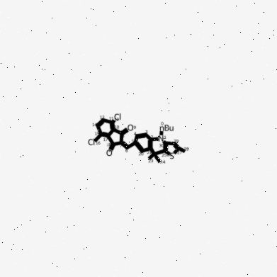 CCCCN1c2ccc(C=C3C(=O)c4c(Cl)ccc(Cl)c4C3=O)cc2C(C)(C)c2sc(C)cc21